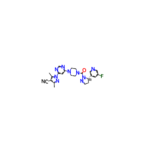 Cc1nn(-c2cc(N3CCN(C(=O)N4N=CC[C@H]4c4cncc(F)c4)CC3)ncn2)c(C)c1C#N